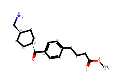 COC(=O)CCCc1ccc(C(=O)[C@H]2CC[C@H](CN)CC2)cc1